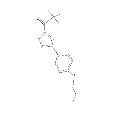 CCCSc1ccc(-c2csc(C(=O)C(C)(C)C)c2)cc1